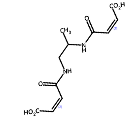 CC(CNC(=O)/C=C\C(=O)O)NC(=O)/C=C\C(=O)O